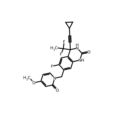 COc1ccn(Cc2cc3c(cc2F)C(C#CC2CC2)(C(C)(F)F)NC(=O)N3)c(=O)c1